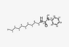 CCCCCCCCCCNC(=O)N(C)c1ccccc1